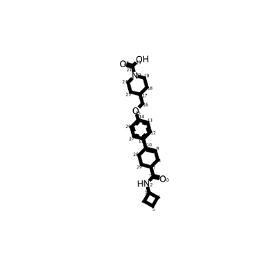 O=C(NC1CCC1)C1CC=C(c2ccc(OCC3CCN(C(=O)O)CC3)cc2)CC1